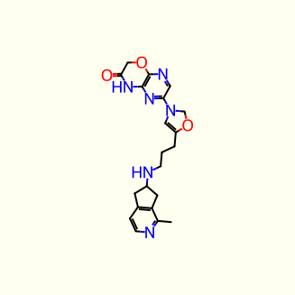 Cc1nccc2c1CC(NCCCC1=CN(c3cnc4c(n3)NC(=O)CO4)CO1)C2